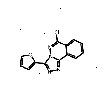 Clc1nn2c(-c3ccco3)nnc2c2ccccc12